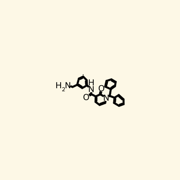 NCc1c[c]cc(NC(=O)c2cccn(C(c3ccccc3)c3ccccc3)c2=O)c1